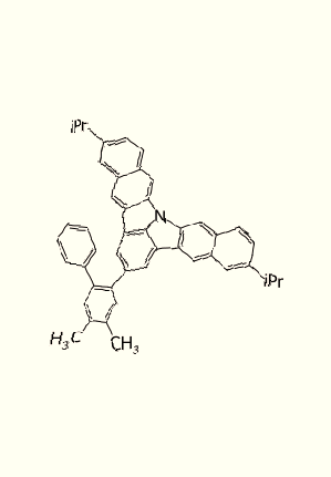 Cc1cc(-c2ccccc2)c(-c2cc3c4cc5cc(C(C)C)ccc5cc4n4c5cc6ccc(C(C)C)cc6cc5c(c2)c34)cc1C